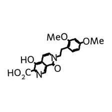 COc1ccc(CCn2ccc3c(O)c(C(=O)O)ncc3c2=O)c(OC)c1